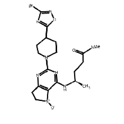 CNC(=O)CC[C@@H](C)Nc1nc(N2CCC(c3nc(C(C)C)no3)CC2)nc2c1[S+]([O-])CC2